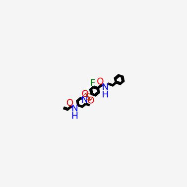 C=CC(=O)NC1CCN(S(=O)(=O)c2ccc(C(=O)NCCc3ccccc3)c(F)c2)C(C)C1